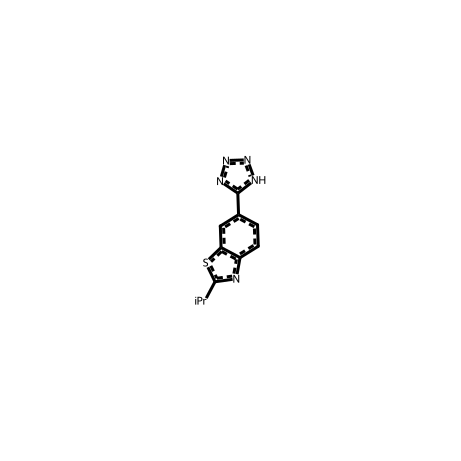 CC(C)c1nc2ccc(-c3nnn[nH]3)cc2s1